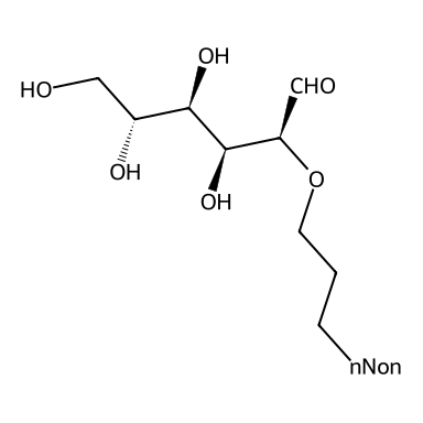 CCCCCCCCCCCCO[C@H](C=O)[C@@H](O)[C@H](O)[C@H](O)CO